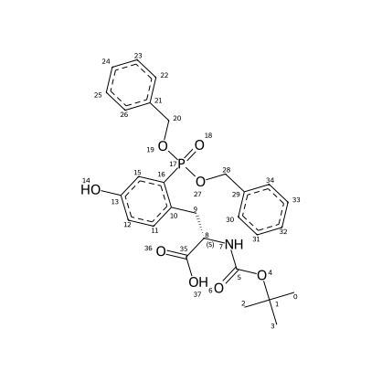 CC(C)(C)OC(=O)N[C@@H](Cc1ccc(O)cc1P(=O)(OCc1ccccc1)OCc1ccccc1)C(=O)O